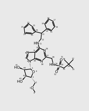 COC[C@H]1O[C@@H](n2cnc3c(NCC(c4ccccc4)c4ccccc4)nc(CNS(=O)(=O)CC(C)(C)C)nc32)[C@H](O)[C@@H]1O